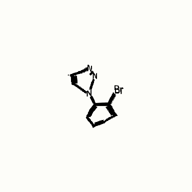 Brc1ccccc1-n1c[c]nn1